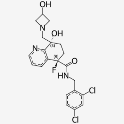 O=C(NCc1ccc(Cl)cc1Cl)[C@@]1(F)CC[C@](O)(CN2CC(O)C2)c2ncccc21